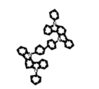 c1ccc(-n2c3ccccc3c3c2ccc2c4ccccc4n(-c4ccc(-c5ccc(-n6c7ccccc7c7ccc8c(c9ccccc9n8-c8ccccc8)c76)cc5)cc4)c23)cc1